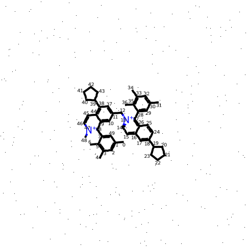 Cc1cc(C)c(C)c(-c2c3cc(C[n+]4ccc5cc(C6CCCC6)ccc5c4-c4cc(C)cc(C)c4C)cc(C4CCCC4)c3cc[n+]2C)c1